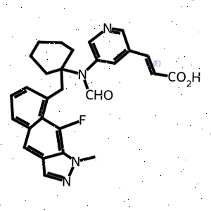 Cn1ncc2cc3cccc(CC4(N(C=O)c5cncc(/C=C/C(=O)O)c5)CCCCC4)c3c(F)c21